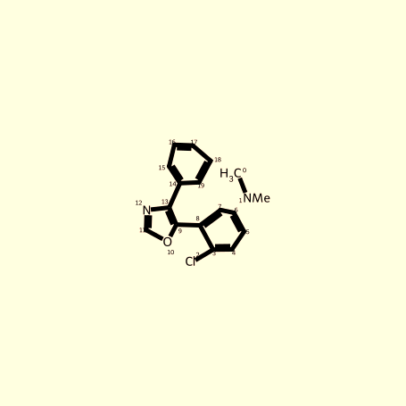 CNC.Clc1ccccc1-c1ocnc1-c1ccccc1